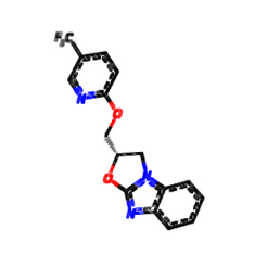 FC(F)(F)c1ccc(OC[C@@H]2Cn3c(nc4ccccc43)O2)nc1